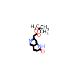 CC(C)(C)OC(=O)Cc1cc2[nH]c(=O)ccc2cn1